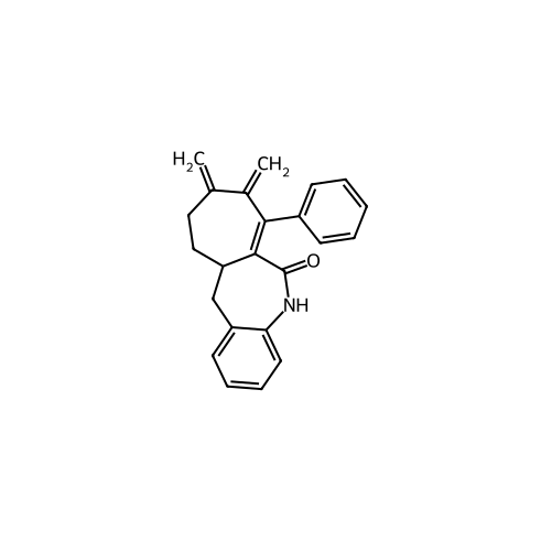 C=C1CCC2Cc3ccccc3NC(=O)C2=C(c2ccccc2)C1=C